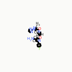 Cc1nn(-c2ncccn2)c(C)c1C(=O)N1C[C@@H]2C(Oc3cc(C(C)(C)N)cc(-c4ccc(F)cc4)n3)[C@@H]2C1